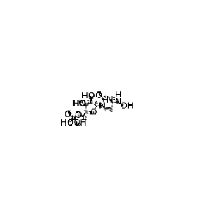 O=c1nc(NO)ccn1C1OC(COP(=O)(O)O)[C@@H](O)[C@H]1O